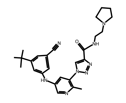 Cc1ncc(Nc2cc(C#N)cc(C(C)(C)C)c2)cc1-n1cc(C(=O)NCCN2CCCC2)nn1